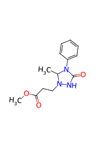 COC(=O)CCN1NC(=O)N(c2ccccc2)C1C